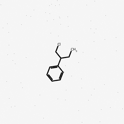 CCC(CCl)c1[c]cccc1